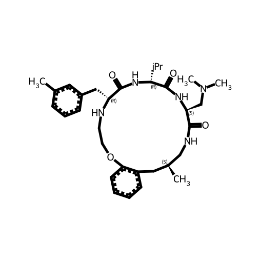 Cc1cccc(C[C@H]2NCCOc3ccccc3C[C@H](C)CNC(=O)[C@H](CN(C)C)NC(=O)[C@@H](C(C)C)NC2=O)c1